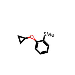 CSc1ccccc1OC1CC1